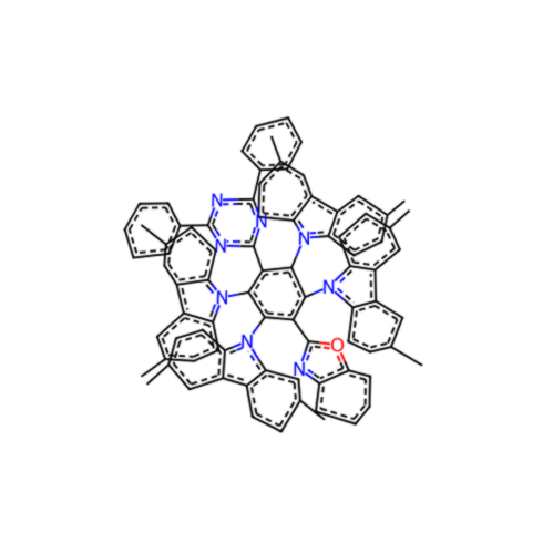 Cc1ccc2c(c1)c1cc(C)ccc1n2-c1c(-c2nc(-c3ccccc3)nc(-c3ccccc3)n2)c(-n2c3ccc(C)cc3c3cc(C)ccc32)c(-n2c3ccc(C)cc3c3ccc(C)cc32)c(-c2nc3ccccc3o2)c1-n1c2ccc(C)cc2c2cc(C)ccc21